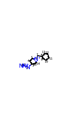 [N-]=[N+]=Nc1cc[n+](Cc2ccccc2)cc1